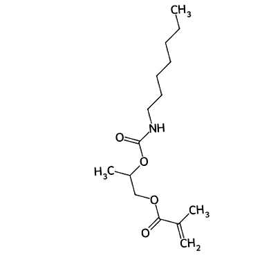 C=C(C)C(=O)OCC(C)OC(=O)NCCCCCCC